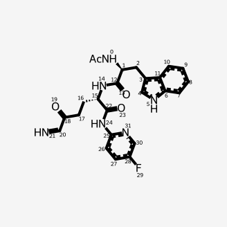 CC(=O)N[C@@H](Cc1c[nH]c2ccccc12)C(=O)N[C@@H](CCC(=O)C=N)C(=O)Nc1ccc(F)cn1